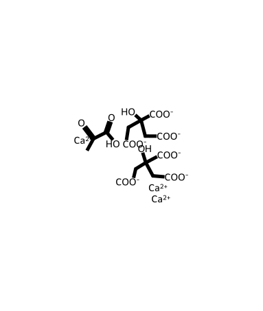 CC(=O)C(=O)O.O=C([O-])CC(O)(CC(=O)[O-])C(=O)[O-].O=C([O-])CC(O)(CC(=O)[O-])C(=O)[O-].[Ca+2].[Ca+2].[Ca+2]